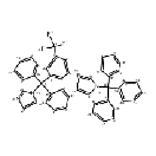 FC(F)(F)c1cccc(C(c2ccccc2)(c2ccccc2)n2ccnc2)c1.c1ccc(C(c2ccccc2)(c2ccccc2)n2ccnc2)cc1